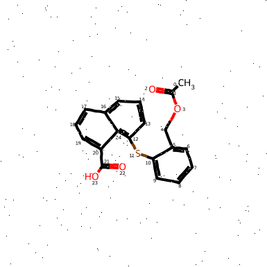 CC(=O)OCc1ccccc1Sc1cccc2cccc(C(=O)O)c12